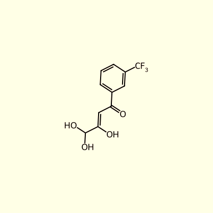 O=C(/C=C(\O)C(O)O)c1cccc(C(F)(F)F)c1